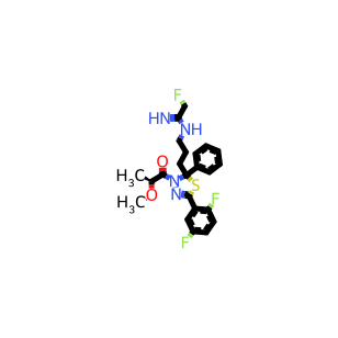 CO[C@@H](C)C(=O)N1N=C(c2cc(F)ccc2F)SC1(CCCNC(=N)CF)c1ccccc1